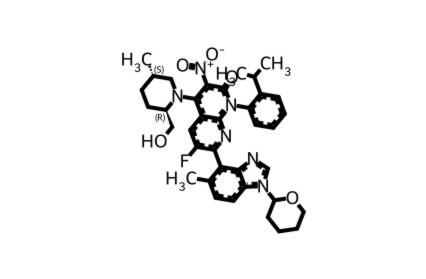 Cc1ccc2c(ncn2C2CCCCO2)c1-c1nc2c(cc1F)c(N1C[C@@H](C)CC[C@@H]1CO)c([N+](=O)[O-])c(=O)n2-c1ccccc1C(C)C